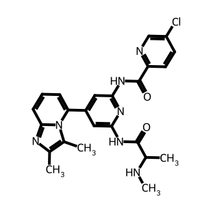 CNC(C)C(=O)Nc1cc(-c2cccc3nc(C)c(C)n23)cc(NC(=O)c2ccc(Cl)cn2)n1